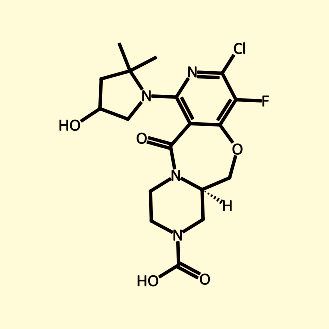 CC1(C)CC(O)CN1c1nc(Cl)c(F)c2c1C(=O)N1CCN(C(=O)O)C[C@@H]1CO2